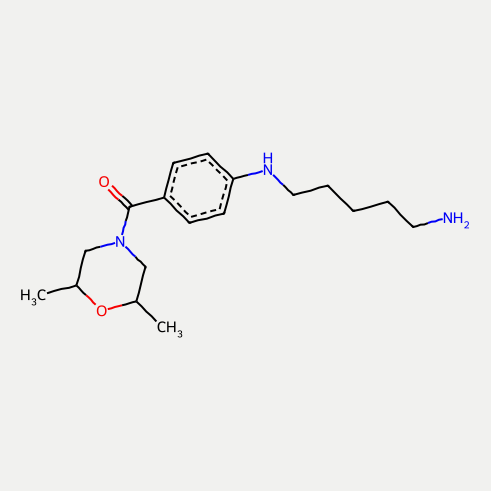 CC1CN(C(=O)c2ccc(NCCCCCN)cc2)CC(C)O1